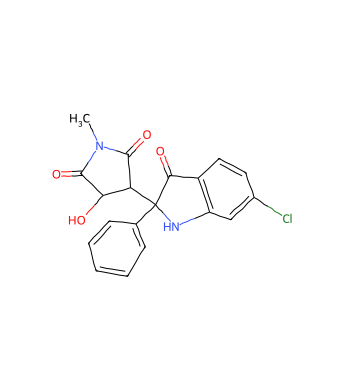 CN1C(=O)C(O)C(C2(c3ccccc3)Nc3cc(Cl)ccc3C2=O)C1=O